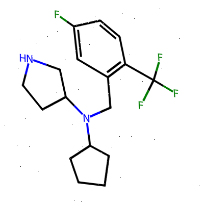 Fc1ccc(C(F)(F)F)c(CN(C2CCCC2)C2CCNC2)c1